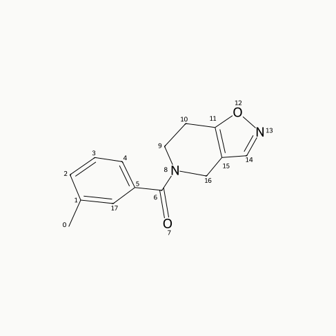 Cc1cccc(C(=O)N2CCc3oncc3C2)c1